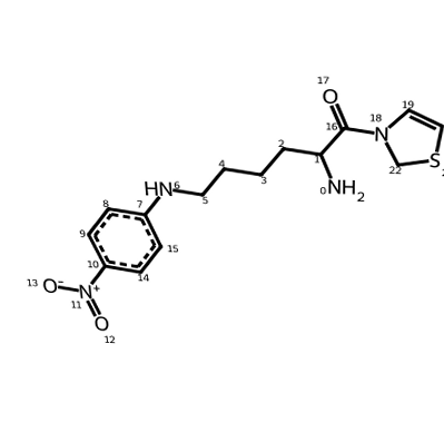 NC(CCCCNc1ccc([N+](=O)[O-])cc1)C(=O)N1C=CSC1